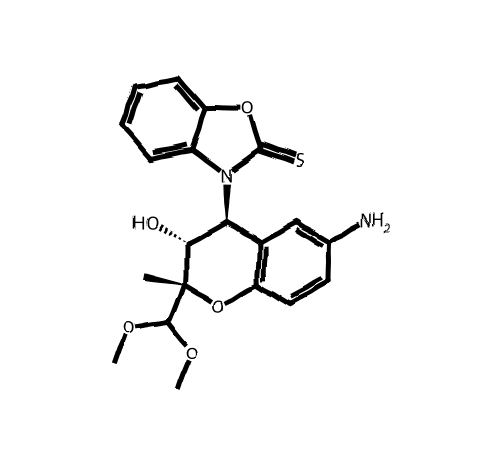 COC(OC)[C@@]1(C)Oc2ccc(N)cc2[C@H](n2c(=S)oc3ccccc32)[C@H]1O